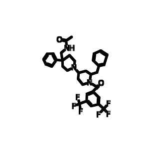 CC(=O)NCC1(c2ccccc2)CCN(C2CCN(C(=O)c3cc(C(F)(F)F)cc(C(F)(F)F)c3)C(Cc3ccccc3)C2)CC1